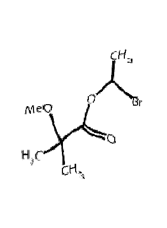 COC(C)(C)C(=O)OC(C)Br